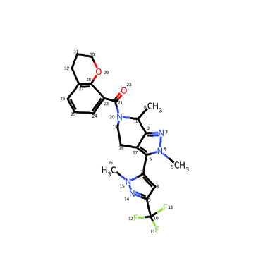 CC1c2nn(C)c(-c3cc(C(F)(F)F)nn3C)c2CCN1C(=O)c1cccc2c1OCCC2